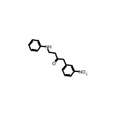 O=C(CCNc1ccccc1)Cc1cccc([N+](=O)[O-])c1